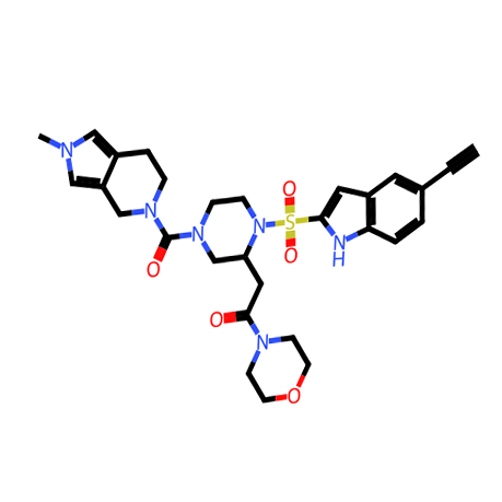 C#Cc1ccc2[nH]c(S(=O)(=O)N3CCN(C(=O)N4CCc5cn(C)cc5C4)CC3CC(=O)N3CCOCC3)cc2c1